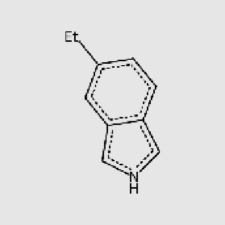 CCc1ccc2c[nH]cc2c1